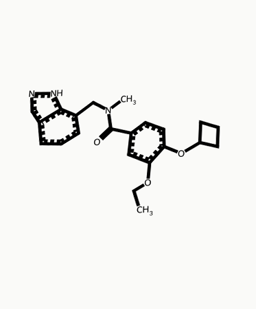 CCOc1cc(C(=O)N(C)Cc2cccc3cn[nH]c23)ccc1OC1CCC1